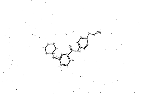 O=C(Nc1ccc(CCO)cc1)c1cc(NC2CCCCC2)ncn1